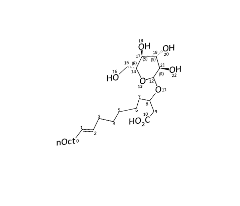 CCCCCCCCC=CCCCCCC(CC(=O)O)OC1O[C@H](CO)[C@@H](O)[C@H](O)[C@H]1O